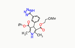 COCCOC(=O)C1=C(C)NC(C)=C(C(=O)OC(C)C)C1c1cccc(-c2nnn[nH]2)c1